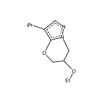 CCOC1COc2c(C(C)C)cnn2C1